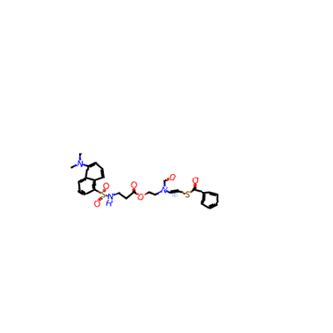 CN(C)c1cccc2c(S(=O)(=O)NCCC(=O)OCCN(C=O)/C=C/SC(=O)c3ccccc3)cccc12